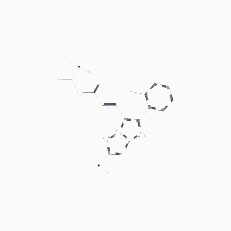 CC(NC(=O)/C=C/c1c(-c2ccccc2Cl)nc2sc(C(F)(F)F)nn12)C(F)(F)F